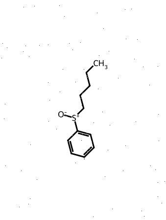 CCCCC[S+]([O-])c1cc[c]cc1